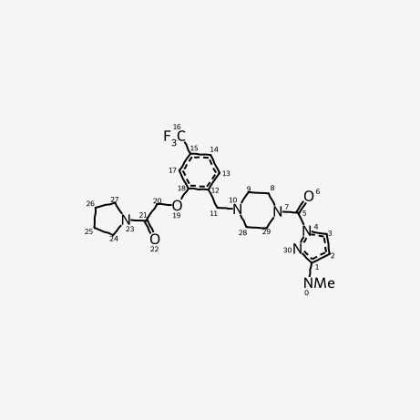 CNc1ccn(C(=O)N2CCN(Cc3ccc(C(F)(F)F)cc3OCC(=O)N3CCCC3)CC2)n1